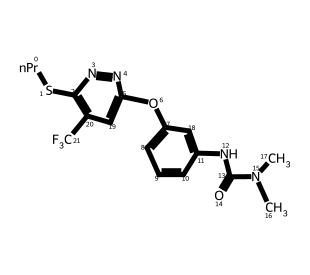 CCCSc1nnc(Oc2cccc(NC(=O)N(C)C)c2)cc1C(F)(F)F